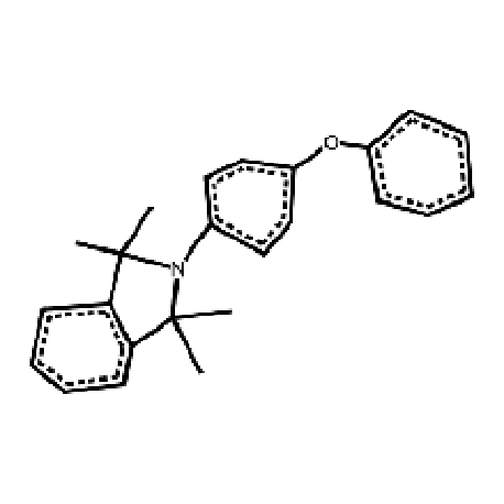 CC1(C)c2ccccc2C(C)(C)N1c1ccc(Oc2ccccc2)cc1